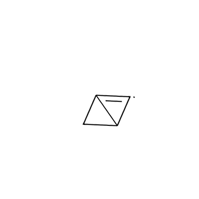 [C]1=C2CC12